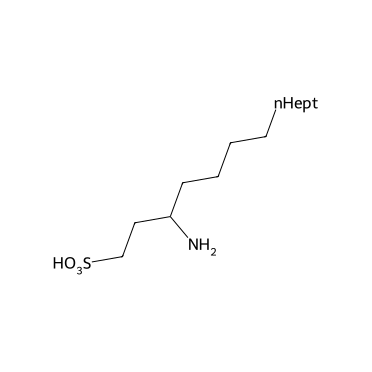 CCCCCCCCCCCC(N)CCS(=O)(=O)O